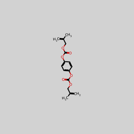 C=C(C)COC(=O)Oc1ccc(OC(=O)OCC(=C)C)cc1